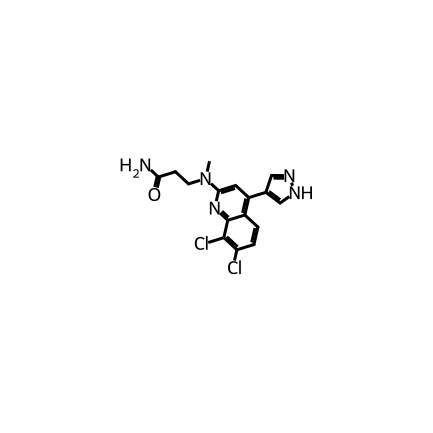 CN(CCC(N)=O)c1cc(-c2cn[nH]c2)c2ccc(Cl)c(Cl)c2n1